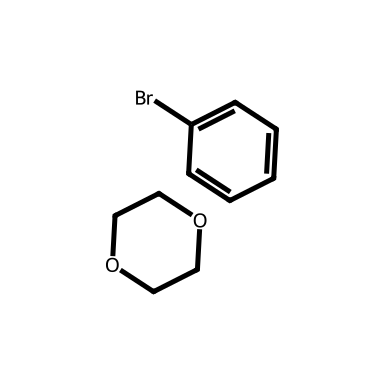 Brc1ccccc1.C1COCCO1